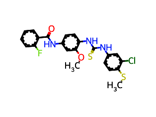 COc1cc(NC(=O)c2ccccc2F)ccc1NC(=S)Nc1ccc(SC)c(Cl)c1